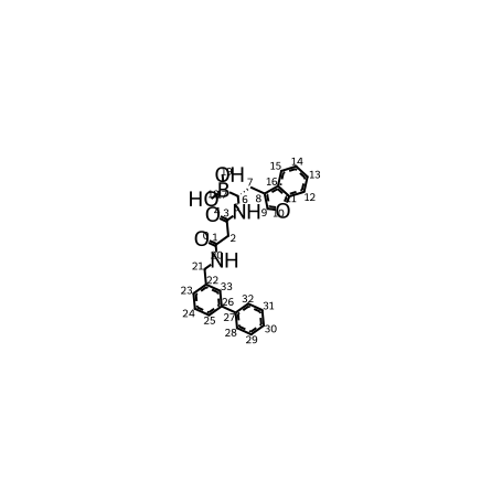 O=C(CC(=O)N[C@@H](Cc1coc2ccccc12)B(O)O)NCc1cccc(-c2ccccc2)c1